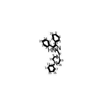 c1ccc(-c2nc(CN3CCN(c4ccccc4)CC3)[nH]c2-c2ccccc2)cc1